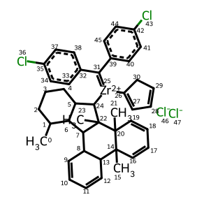 CC1CCCC2C1C1C3C=CC=CC3C3(C)C=CC=CC3(C)C1(C)[CH]2[Zr+2]([C]1=CC=CC1)=[C](c1ccc(Cl)cc1)c1ccc(Cl)cc1.[Cl-].[Cl-]